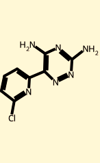 Nc1nnc(-c2cccc(Cl)n2)c(N)n1